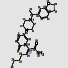 C=C1C=NC(N2CCN(C(C)c3ccc4c(c3)OCC4)CC2)=CN1/C(=C\CCCC)C(N)=O